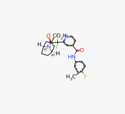 Cc1cc(NC(=O)c2ccnc(C(F)(F)C(=O)N3[C@@H]4CC[C@H]3C[C@@H](C(=O)O)C4)c2)ccc1F